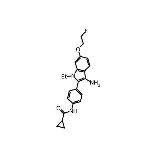 CCn1c(-c2ccc(NC(=O)C3CC3)cc2)c(N)c2ccc(OCCF)cc21